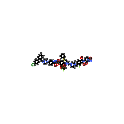 CC1CN(CC[C@H](CSc2ccccc2)Nc2ccc(S(=O)(=O)NC(=O)c3ccc(N4CCN(CC5=C(c6ccc(Cl)cc6)CCC(C)(C)C5)CC4)cc3)cc2S(=O)(=O)C(F)(F)F)CC(C)N1Cc1ccc2c(c1F)C(=O)N(C1CCC(=O)NC1=O)C2=O